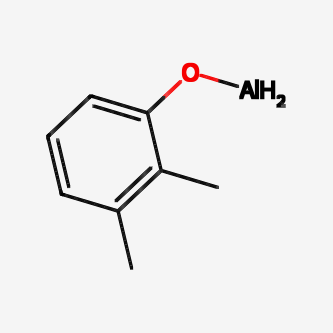 Cc1cccc([O][AlH2])c1C